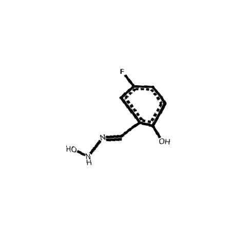 ONN=Cc1cc(F)ccc1O